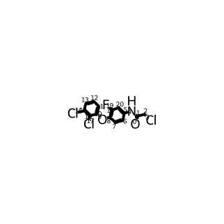 O=C(CCl)Nc1ccc(Oc2cccc(Cl)c2Cl)c(F)c1